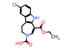 CCOC(=O)C1=CN(C(=O)O)CCc2c1[nH]c1ccc(Cl)cc21